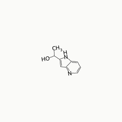 CC(O)c1cc2ncccc2[nH]1